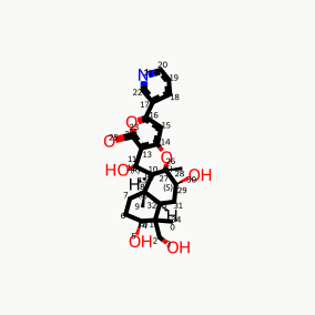 CC1(CO)[C@@H](O)CC[C@]2(C)[C@H]3[C@@H](O)c4c(cc(-c5cccnc5)oc4=O)O[C@]3(C)[C@@H](O)C[C@@H]12